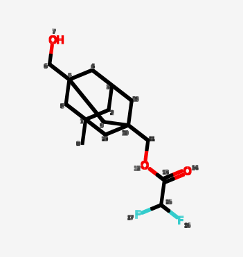 CC12CC3CC(CO)(C1)CC(COC(=O)C(F)F)(C3)C2